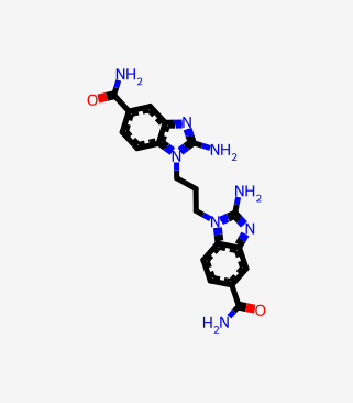 NC(=O)c1ccc2c(c1)nc(N)n2CCCn1c(N)nc2cc(C(N)=O)ccc21